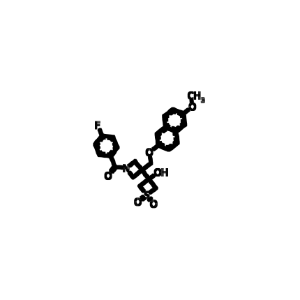 COc1ccc2cc(OCC3(C4(O)CS(=O)(=O)C4)CN(C(=O)c4ccc(F)cc4)C3)ccc2c1